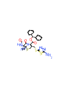 Nc1nnc(SCC2=C(C(=O)OC(c3ccccc3)c3ccccc3)N3C(=O)[C@](N)(NC=O)[C@H]3SC2)s1